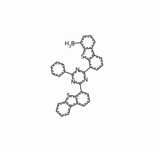 Bc1cccc2c1sc1c(-c3nc(-c4ccccc4)nc(-c4cccc5c4sc4ccccc45)n3)cccc12